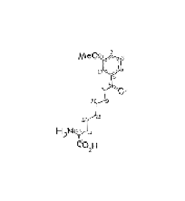 COc1cccc(C(=O)CCCCCCC(N)C(=O)O)c1